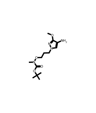 COc1nn(CCCON(C)C(=O)OC(C)(C)C)cc1N